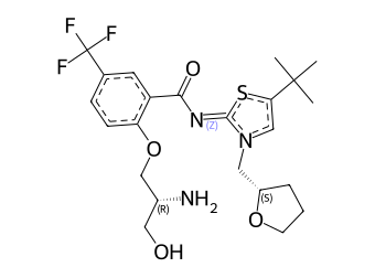 CC(C)(C)c1cn(C[C@@H]2CCCO2)/c(=N/C(=O)c2cc(C(F)(F)F)ccc2OC[C@H](N)CO)s1